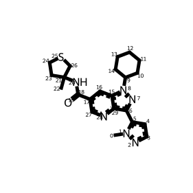 Cn1nccc1-c1nn(C2CCCCC2)c2cc(C(=O)NC3(C)CCSC3)cnc12